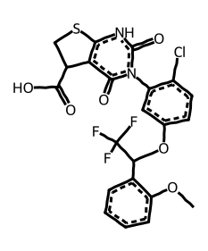 COc1ccccc1C(Oc1ccc(Cl)c(-n2c(=O)[nH]c3c(c2=O)C(C(=O)O)CS3)c1)C(F)(F)F